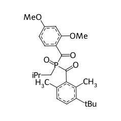 COc1ccc(C(=O)P(=O)(CC(C)C)C(=O)c2c(C)ccc(C(C)(C)C)c2C)c(OC)c1